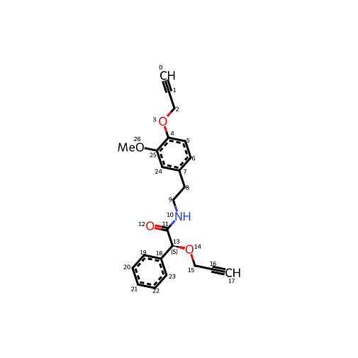 C#CCOc1ccc(CCNC(=O)[C@@H](OCC#C)c2ccccc2)cc1OC